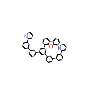 c1ccc(-c2cccc(-c3cccc(-c4cc(-c5cccc(-c6cccc(-c7ccccn7)c6)c5)cc(-c5cccc6c5oc5ccccc56)c4)c3)c2)nc1